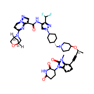 C[C@@H](C#Cc1cccc2c1n(C)c(=O)n2C1CCC(=O)NC1=O)OC1CCN(C[C@H]2CC[C@H](n3cc(NC(=O)c4cnn5ccc(N6C[C@H]7C[C@@H]6CO7)nc45)c(C(F)F)n3)CC2)CC1